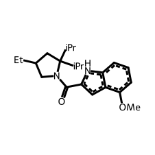 CCC1CN(C(=O)c2cc3c(OC)cccc3[nH]2)C(C(C)C)(C(C)C)C1